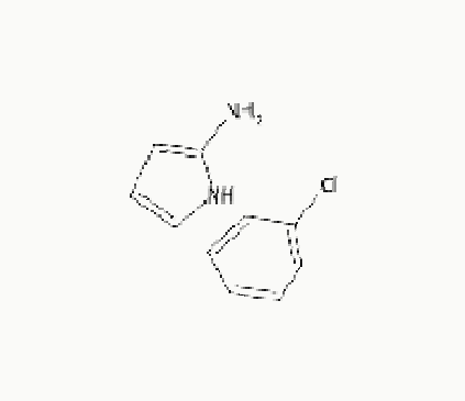 Clc1ccccc1.Nc1ccc[nH]1